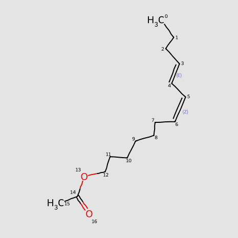 CCC/C=C/C=C\CCCCCCOC(C)=O